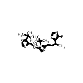 CC(CCc1ncc(OCc2ncsc2C(C)(C)C)n1C(C)(C)C)c1scnc1F